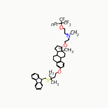 CCCC(OCCN(C)CCO[C@H]1CCC2C3CCc4cc(OCCC(C)(C)SCC5c6ccccc6-c6ccccc65)ccc4C3CC[C@@]21C)(C(F)(F)F)C(F)(F)F